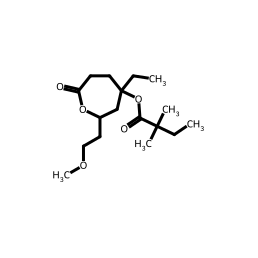 CCC1(OC(=O)C(C)(C)CC)CCC(=O)OC(CCOC)C1